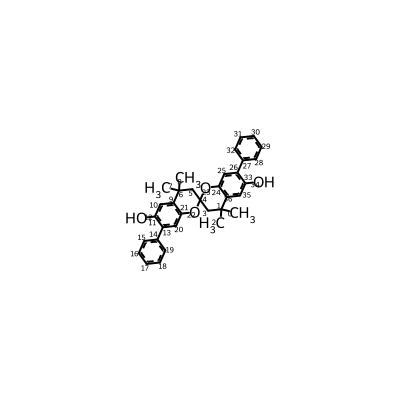 CC1(C)CC2(CC(C)(C)c3cc(O)c(-c4ccccc4)cc3O2)Oc2cc(-c3ccccc3)c(O)cc21